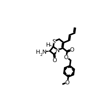 C=C/C=C/C1=C(C(=O)OCc2ccc(OC)cc2)N2C(=O)[C@@H](N)[C@H]2SC1